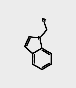 BrCn1ccc2ccccc21